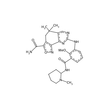 COc1c(Nc2ncc3c(n2)-c2noc(C(N)=O)c2CC3(C)C)cccc1C(=O)NC1CCCCN1C